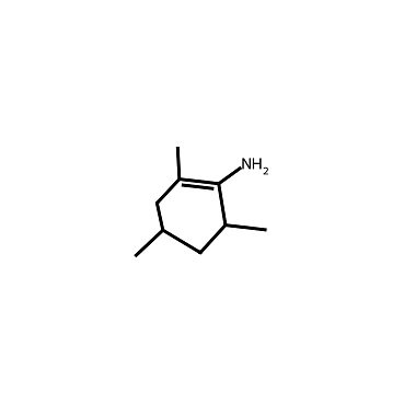 CC1=C(N)C(C)CC(C)C1